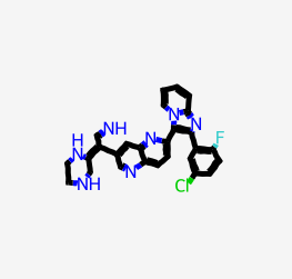 N=C/C(=C1/CNCCN1)c1cnc2ccc(-c3c(-c4cc(Cl)ccc4F)nc4ccccn34)nc2c1